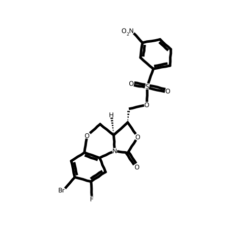 O=C1O[C@@H](COS(=O)(=O)c2cccc([N+](=O)[O-])c2)[C@@H]2COc3cc(Br)c(F)cc3N12